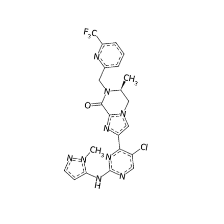 C[C@H]1Cn2cc(-c3nc(Nc4ccnn4C)ncc3Cl)nc2C(=O)N1Cc1cccc(C(F)(F)F)n1